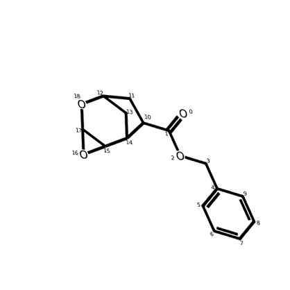 O=C(OCc1ccccc1)C1CC2CC1C1OC1O2